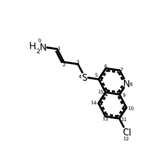 NC=CCSc1ccnc2cc(Cl)ccc12